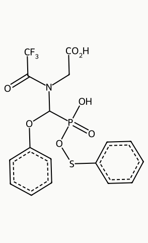 O=C(O)CN(C(=O)C(F)(F)F)C(Oc1ccccc1)P(=O)(O)OSc1ccccc1